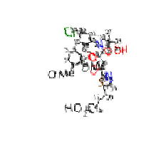 COc1cccc([C@H]2O[C@H](CC(=O)c3ncc(CCCC(=O)O)s3)C(=O)N(CC(C)(C)CO)c3ccc(Cl)cc32)c1OC